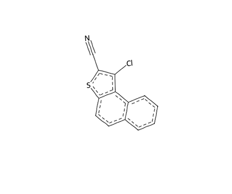 N#Cc1sc2ccc3ccccc3c2c1Cl